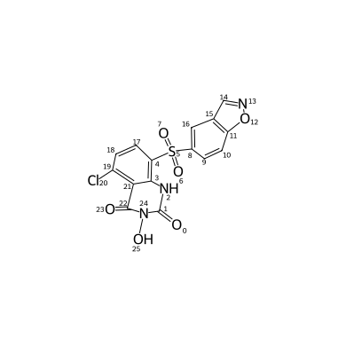 O=c1[nH]c2c(S(=O)(=O)c3ccc4oncc4c3)ccc(Cl)c2c(=O)n1O